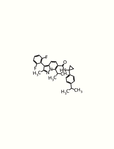 Cc1nn2c(C(C)C)c(C(=O)NC3(c4ccc(C(C)C)cc4)CC3)ccc2c1-c1c(F)cccc1F